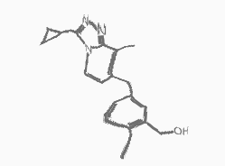 Cc1ccc(Cc2ccn3c(C4CC4)nnc3c2C)cc1CO